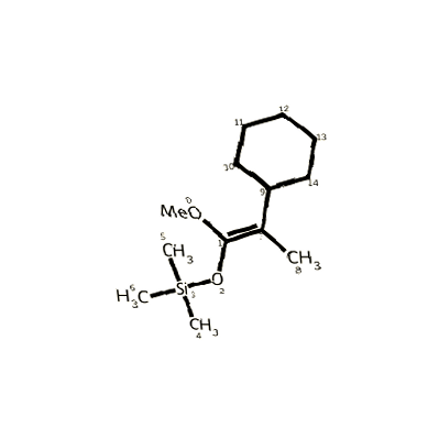 CO/C(O[Si](C)(C)C)=C(/C)C1CCCCC1